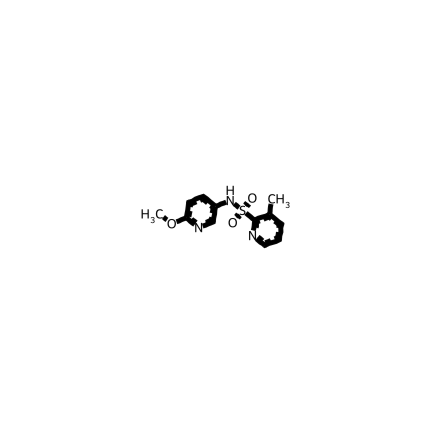 COc1ccc(NS(=O)(=O)c2ncccc2C)cn1